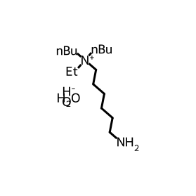 CCCC[N+](CC)(CCCC)CCCCCCN.O.[OH-]